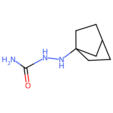 NC(=O)NNC12CCC(CC1)C2